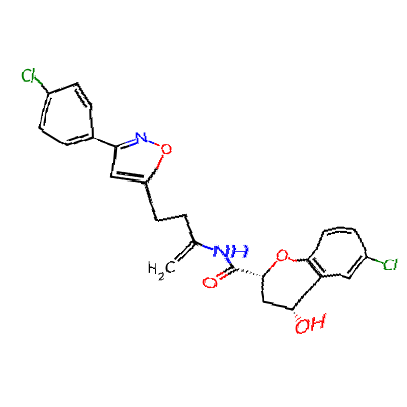 C=C(CCc1cc(-c2ccc(Cl)cc2)no1)NC(=O)[C@H]1C[C@@H](O)c2cc(Cl)ccc2O1